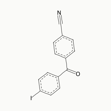 N#Cc1ccc(C(=O)c2ccc(I)cc2)cc1